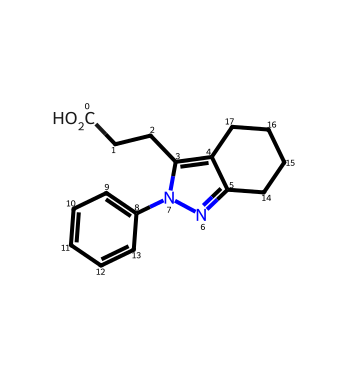 O=C(O)CCc1c2c(nn1-c1ccccc1)CCCC2